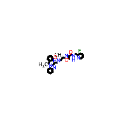 COc1cccc(C(C)n2c(CCNCCc3nc(C(=O)NCc4ncccc4F)co3)nc3ccccc32)c1